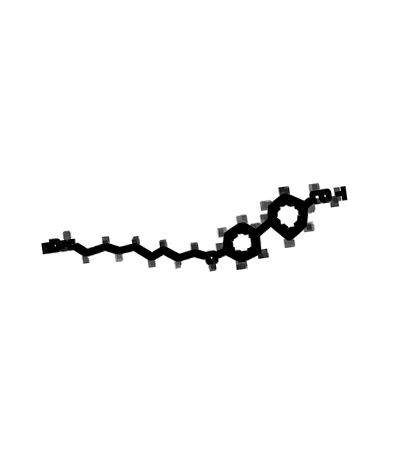 CCCCCCCCCCCCCCCCCCOc1ccc(-c2ccc(C(=O)O)cc2)cc1